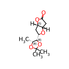 C[C@H]1OC(C)(C)O[C@H]1C1C[C@@H]2OC(=O)C[C@@H]2O1